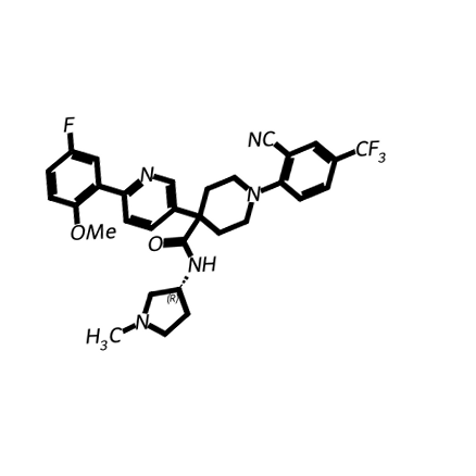 COc1ccc(F)cc1-c1ccc(C2(C(=O)N[C@@H]3CCN(C)C3)CCN(c3ccc(C(F)(F)F)cc3C#N)CC2)cn1